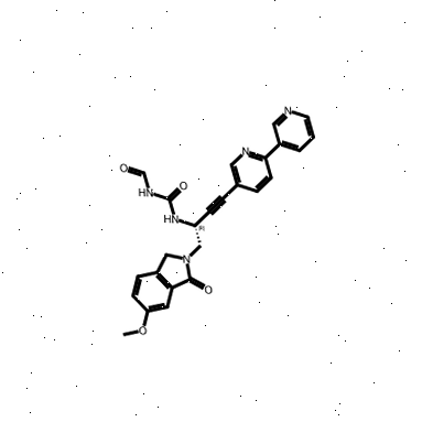 COc1ccc2c(c1)C(=O)N(C[C@@H](C#Cc1ccc(-c3cccnc3)nc1)NC(=O)NC=O)C2